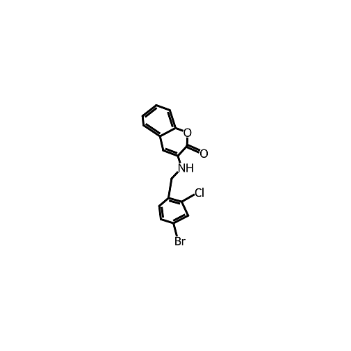 O=c1oc2ccccc2cc1NCc1ccc(Br)cc1Cl